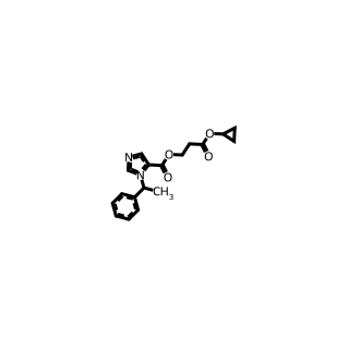 CC(c1ccccc1)n1cncc1C(=O)OCCC(=O)OC1CC1